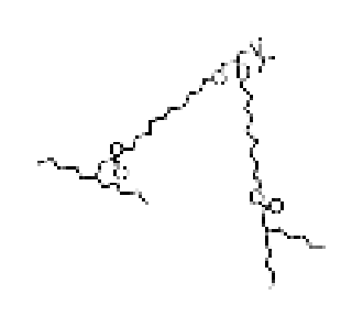 CCCCCC(CCCCC)CC(=O)OCCCCCCCCCCOCC(CN(C)C(C)C)OCCCCCCCCCCOC(=O)CC(CCCCC)CCCCC